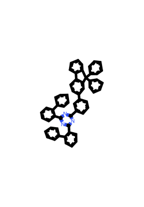 c1ccc(-c2ccccc2-c2nc(-c3cccc(-c4ccc5c(c4)C(c4ccccc4)(c4ccccc4)c4ccccc4-5)c3)nc(-c3ccccc3-c3ccccc3)n2)cc1